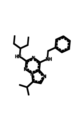 CCC(CC)Nc1nc(NCc2ccccc2)c2ncc(C(C)C)n2n1